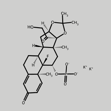 CC1(C)O[C@@H]2C[C@H]3[C@@H]4CCC5=CC(=O)C=C[C@]5(C)[C@@]4(F)[C@@H](OP(=O)([O-])[O-])C[C@]3(C)[C@]2(C(=O)CO)O1.[K+].[K+]